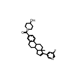 CC12CCC3c4ccc(C(=O)N5CCC(O)CC5)cc4CCC3C1CC=C2c1cncc(F)c1